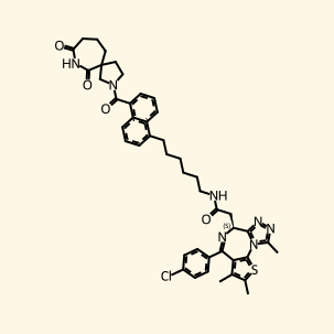 Cc1sc2c(c1C)C(c1ccc(Cl)cc1)=N[C@@H](CC(=O)NCCCCCCc1cccc3c(C(=O)N4CCC5(CCCC(=O)NC5=O)C4)cccc13)c1nnc(C)n1-2